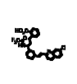 O=C(O)c1ccccc1CCC(NC(=O)C(F)(F)F)c1cccc(/C=C/c2ccc3ccc(Cl)cc3n2)c1